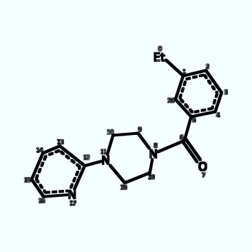 CCc1cccc(C(=O)N2CCN(c3ccccn3)CC2)c1